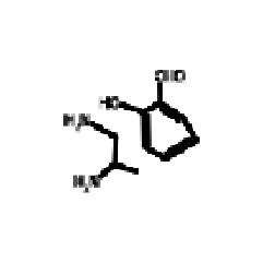 CC(N)CN.O=Cc1ccccc1O